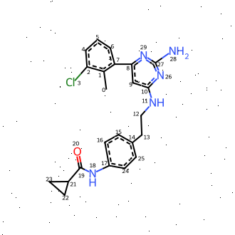 Cc1c(Cl)cccc1-c1cc(NCCc2ccc(NC(=O)C3CC3)cc2)nc(N)n1